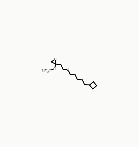 CCOC(=O)OC1(CCOCCCCCC2CCC2)CO1